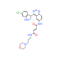 O=C(C=CC(=O)Nc1ccc2ncnc(C3CNc4cc(Cl)ccc43)c2c1)NCCCN1CCOCC1